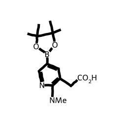 CNc1ncc(B2OC(C)(C)C(C)(C)O2)cc1CC(=O)O